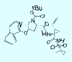 C=C[C@@H]1C[C@]1(NC(=O)[C@@H]1C[C@@H](Oc2nccc3ccccc23)CN1C(=O)OC(C)(C)C)C(=O)NS(=O)(=O)C1(C)CC1